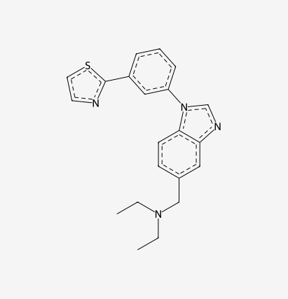 CCN(CC)Cc1ccc2c(c1)ncn2-c1cccc(-c2nccs2)c1